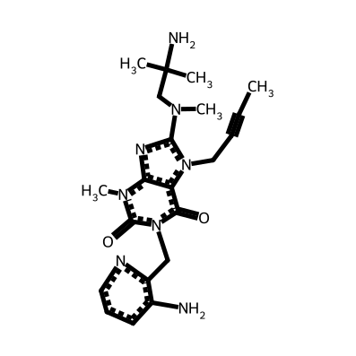 CC#CCn1c(N(C)CC(C)(C)N)nc2c1c(=O)n(Cc1ncccc1N)c(=O)n2C